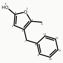 Cc1oc(O)cc1Cc1ccccc1